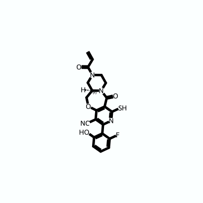 C=CC(=O)N1CCN2C(=O)c3c(S)nc(-c4c(O)cccc4F)c(C#N)c3OC[C@H]2C1